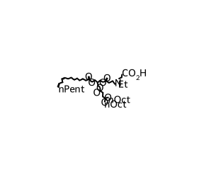 CCCCC/C=C\C/C=C\CCCCCCCC(=O)OCC(COC(=O)CCCN(CC)CCCC(=O)O)COC(=O)CCC(OCCCCCCCC)OCCCCCCCC